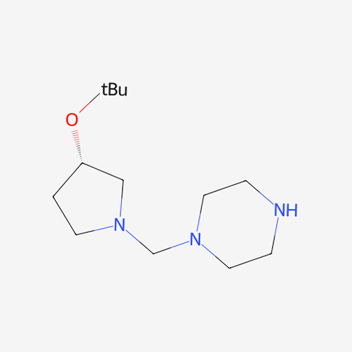 CC(C)(C)O[C@H]1CCN(CN2CCNCC2)C1